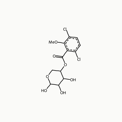 COc1c(Cl)ccc(Cl)c1C(=O)OC1COC(O)C(O)C1O